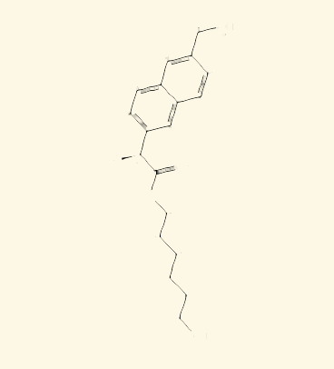 CCCCCCCOC(=O)[C@@H](C)c1ccc2cc(CO)ccc2c1